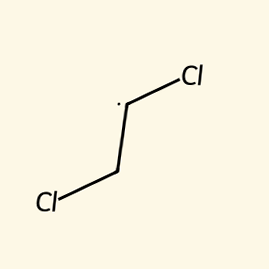 Cl[CH]CCl